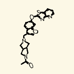 CC(=O)N1CC2CN(Cc3coc4cc(Oc5nc6ncccc6s5)ccc34)CC2C1